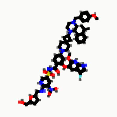 COc1ccc(CN2CCN(C3CC4(CCN(c5ccc(C(=O)NS(=O)(=O)c6cnc(NCC7CCC(CO)O7)c([N+](=O)[O-])c6)c(Oc6cc7c(F)c[nH]c7nc6OC)c5)CC4)C3)[C@H](c3ccccc3C(C)C)C2)cc1